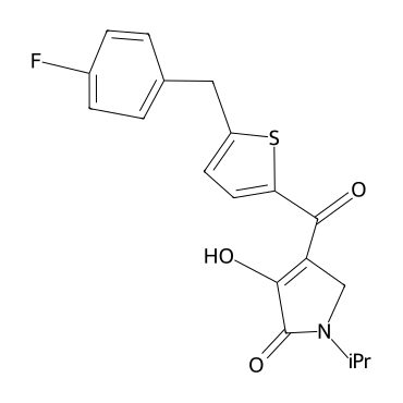 CC(C)N1CC(C(=O)c2ccc(Cc3ccc(F)cc3)s2)=C(O)C1=O